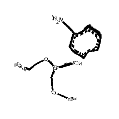 CCCCOB(O)OCCCC.Nc1ccccc1